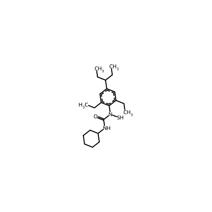 CCc1cc(C(CC)CC)cc(CC)c1N(S)C(=O)NC1CCCCC1